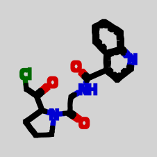 O=C(NCC(=O)N1CCCC1C(=O)CCl)c1ccnc2ccccc12